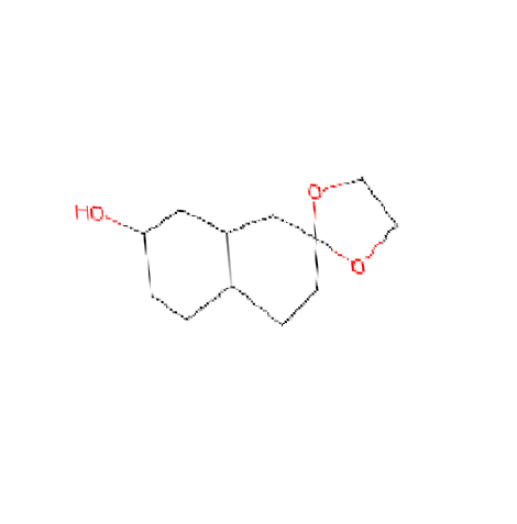 OC1CCC2CCC3(CC2C1)OCCO3